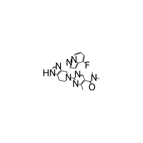 Cc1nc(N2CCc3[nH]cnc3[C@@H]2c2cc3c(F)cccn3n2)ncc1C(=O)N(C)C